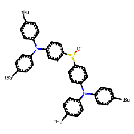 CC(C)(C)c1ccc(N(c2ccc([S+]([O-])c3ccc(N(c4ccc(C(C)(C)C)cc4)c4ccc(C(C)(C)C)cc4)cc3)cc2)c2ccc(C(C)(C)C)cc2)cc1